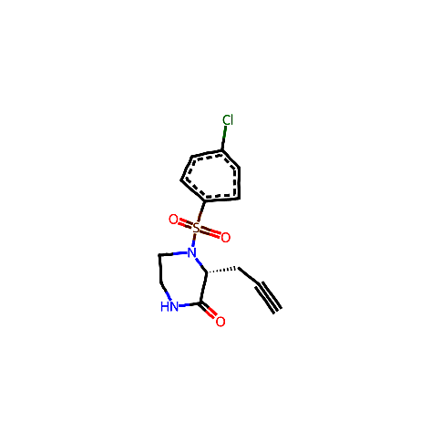 C#CC[C@@H]1C(=O)NCCN1S(=O)(=O)c1ccc(Cl)cc1